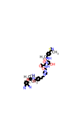 Cc1ncsc1-c1ccc(C(C)NC(=O)[C@@H]2C[C@@H](O)CN2C(=O)[C@H](NC(=O)CN2CCN(CCCc3ccc(C(=O)N[C@H]4C(C)(C)[C@H](Oc5ccc(C#N)c(C#N)c5)C4(C)C)cc3)CC2)C2COC2)cc1